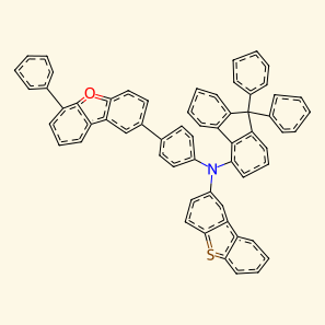 c1ccc(-c2cccc3c2oc2ccc(-c4ccc(N(c5ccc6sc7ccccc7c6c5)c5cccc6c5-c5ccccc5C6(c5ccccc5)c5ccccc5)cc4)cc23)cc1